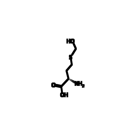 N[C@@H](CCSCO)C(=O)O